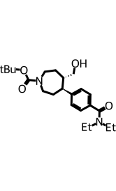 CCN(CC)C(=O)c1ccc([C@H]2CCN(C(=O)OC(C)(C)C)CC[C@@H]2CO)cc1